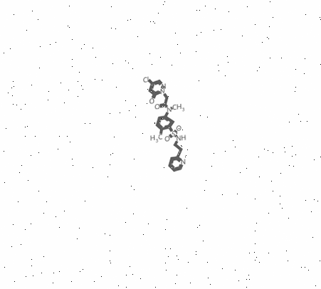 Cc1ccc(N(C)C(=O)Cn2ncc(Cl)cc2=O)cc1S(=O)(=O)NCCc1ccccn1